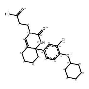 O=C(O)CCN1C=C2CCCCC2(c2ccc(OC3CCCCC3)c(Cl)c2)NC1=O